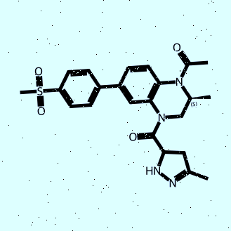 CC(=O)N1c2ccc(-c3ccc(S(C)(=O)=O)cc3)cc2N(C(=O)C2CC(C)=NN2)C[C@@H]1C